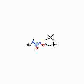 CN(/[N+]([O-])=N/OC1CC(C)(C)CC(C)(C)C1)C(C)(C)C